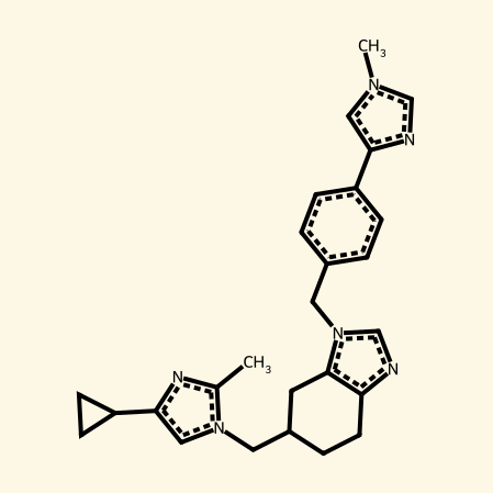 Cc1nc(C2CC2)cn1CC1CCc2ncn(Cc3ccc(-c4cn(C)cn4)cc3)c2C1